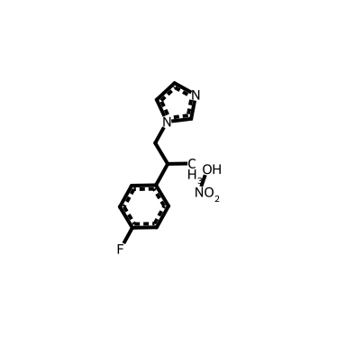 CC(Cn1ccnc1)c1ccc(F)cc1.O=[N+]([O-])O